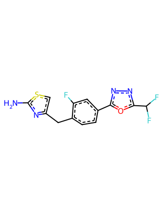 Nc1nc(Cc2ccc(-c3nnc(C(F)F)o3)cc2F)cs1